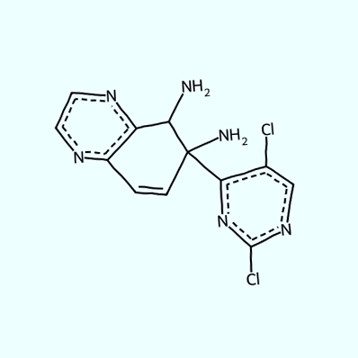 NC1c2nccnc2C=CC1(N)c1nc(Cl)ncc1Cl